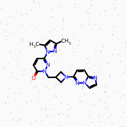 Cc1cc(C)n(-c2ccc(=O)n(CC3CN(c4ccc5nccn5n4)C3)n2)n1